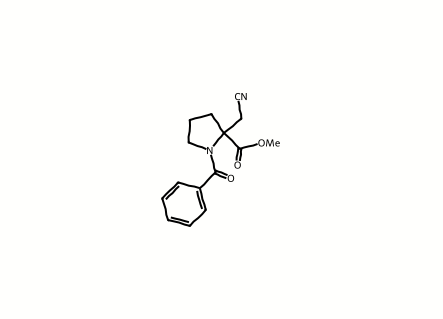 COC(=O)C1(CC#N)CCCN1C(=O)c1ccccc1